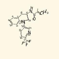 C=CC(=O)NC1Cc2ccccc2N(c2ccc(C(F)(F)F)nc2)C1